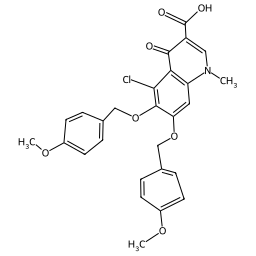 COc1ccc(COc2cc3c(c(Cl)c2OCc2ccc(OC)cc2)c(=O)c(C(=O)O)cn3C)cc1